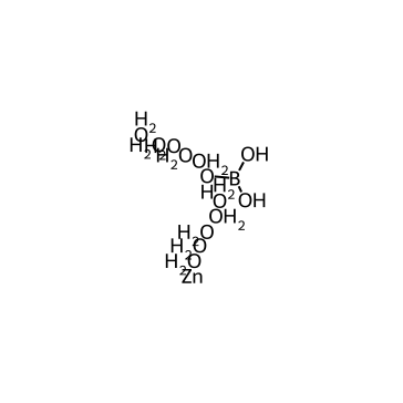 O.O.O.O.O.O.O.O.O.O.OB(O)O.[Zn]